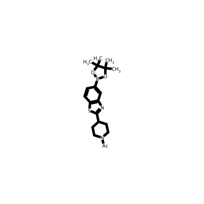 CC(=O)N1CCC(c2nc3cc(B4OC(C)(C)C(C)(C)O4)ccc3s2)CC1